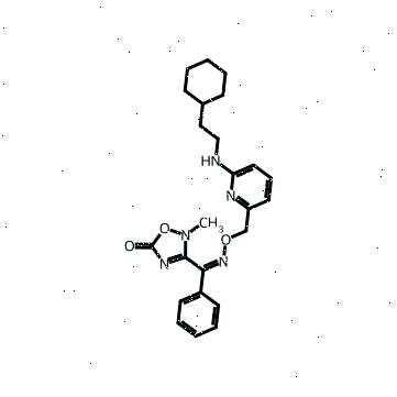 Cn1oc(=O)nc1/C(=N\OCc1cccc(NCCC2CCCCC2)n1)c1ccccc1